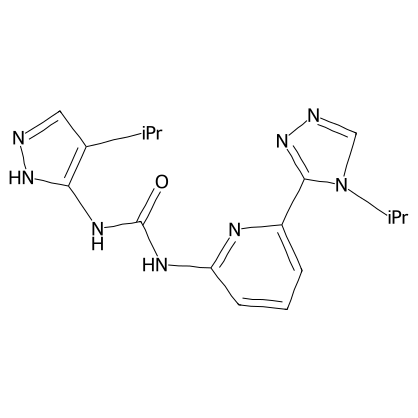 CC(C)c1cn[nH]c1NC(=O)Nc1cccc(-c2nncn2C(C)C)n1